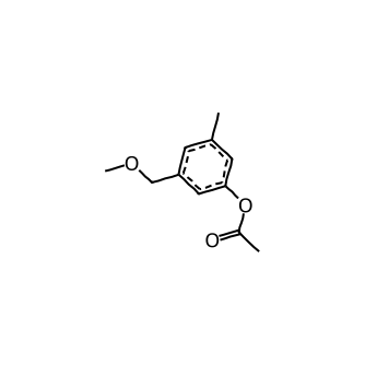 COCc1cc(C)cc(OC(C)=O)c1